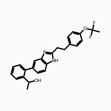 CC(O)c1ccccc1-c1ccc2[nH]c(CCc3ccc(OC(C)(F)F)cc3)nc2c1